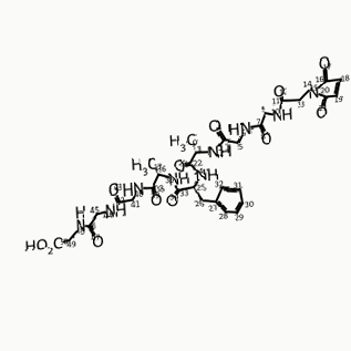 C[C@H](NC(=O)CNC(=O)CNC(=O)CCN1C(=O)C=CC1=O)C(=O)N[C@@H](Cc1ccccc1)C(=O)N[C@@H](C)C(=O)NCC(=O)NCC(=O)NCC(=O)O